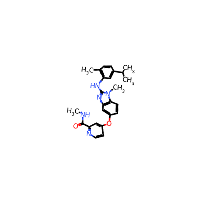 CNC(=O)c1cc(Oc2ccc3c(c2)nc(Nc2cc(C(C)C)ccc2C)n3C)ccn1